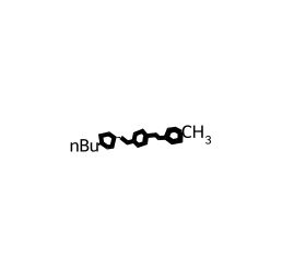 CCCC[C@H]1CC[C@H](CCC2CC=C(CCc3ccc(C)cc3)CC2)CC1